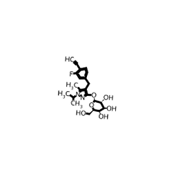 C#Cc1ccc(Cc2c(O[C@H]3O[C@H](CO)[C@@H](O)[C@H](O)[C@H]3O)nn(C(C)C)c2C)cc1F